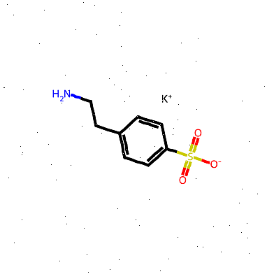 NCCc1ccc(S(=O)(=O)[O-])cc1.[K+]